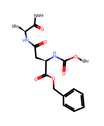 CNC(=O)[C@@H](NC(=O)C[C@@H](NC(=O)OC(C)(C)C)C(=O)OCc1ccccc1)C(C)(C)C